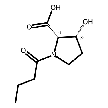 CCCC(=O)N1CC[C@@H](O)[C@H]1C(=O)O